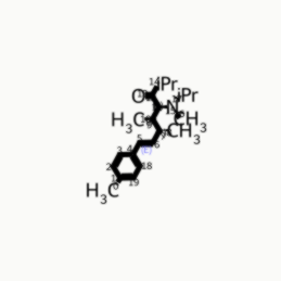 Cc1ccc(/C=C/[C@@H](C)[C@@H](C)[C@@H](C(=O)C(C)C)N(C)C(C)C)cc1